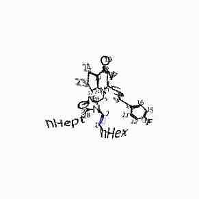 CCCCCC/C=C/N1C(Cn2c(SCc3ccc(F)cc3)nc(=O)c3c2CCC3)=NOC1CCCCCCC